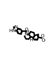 COC(=O)c1ccc2c(c1)CC[C@@H]1[C@H]2CCCN1C(=O)c1ccc2[nH]cnc2c1